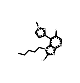 CCCCCn1c(O)nc2ncc(Cl)c(-c3ccn(C)n3)c21